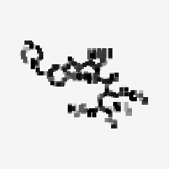 CO/C(N)=C(/C=C(\N)OC)C(=O)Nc1c[nH]nc1-c1nc2cc(CN3CCOCC3)ccc2[nH]1